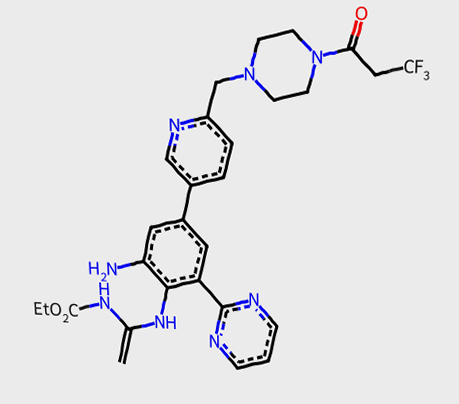 C=C(NC(=O)OCC)Nc1c(N)cc(-c2ccc(CN3CCN(C(=O)CC(F)(F)F)CC3)nc2)cc1-c1ncccn1